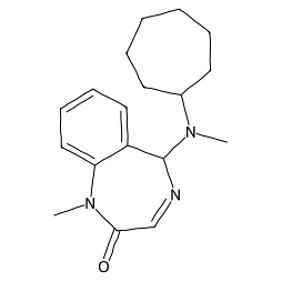 CN1C(=O)C=NC(N(C)C2CCCCCC2)c2ccccc21